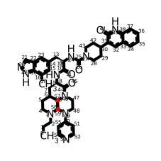 CCCN1CCC(C[C@@H](NC(=O)[C@@H](Cc2cc(C)c3[nH]ncc3c2)NC(=O)N2CCC(c3cc4ccccc4[nH]c3=O)CC2)C(=O)N2CCN(c3ccncc3)CC2)CC1